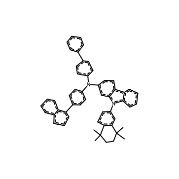 CC1(C)CCC(C)(C)c2cc(-n3c4ccccc4c4ccc(N(c5ccc(-c6ccccc6)cc5)c5ccc(-c6cccc7ccccc67)cc5)cc43)ccc21